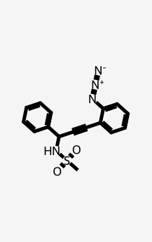 CS(=O)(=O)NC(C#Cc1ccccc1N=[N+]=[N-])c1ccccc1